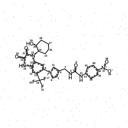 O=C(NCc1ccn(-c2cc3c(cc2C(F)(F)F)[nH]c(=O)c(=O)n3[C@@H]2CCCC[C@@H]2O)c1)Nc1ccc([N+](=O)[O-])cc1